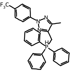 Cc1nn(-c2ccc(C(F)(F)F)cc2)nc1C[PH](c1ccccc1)(c1ccccc1)c1ccccc1